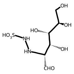 O=C[C@H](NNS(=O)(=O)O)[C@@H](O)[C@H](O)[C@H](O)CO